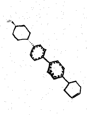 CCC[C@H]1CC[C@H](c2ccc(-c3ccc(C4CC=CCC4)cc3)cc2)CC1